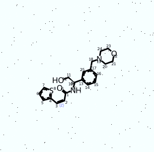 O=C(/C=C\c1cccs1)N[C@@H](CO)c1cccc(CN2CCOCC2)c1